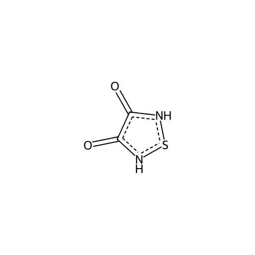 O=c1[nH]s[nH]c1=O